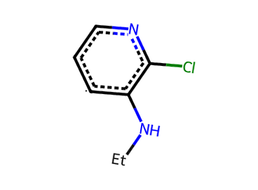 CCNc1[c]ccnc1Cl